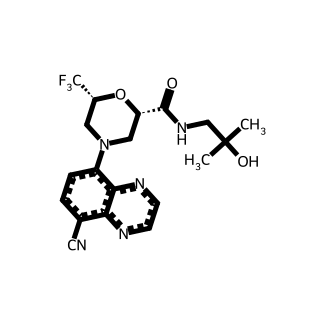 CC(C)(O)CNC(=O)[C@@H]1CN(c2ccc(C#N)c3nccnc23)C[C@H](C(F)(F)F)O1